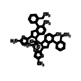 CCc1ccccc1-c1c(C)ccc2c1C=C(c1ccc(C)o1)[CH]2[Zr]([Cl])([Cl])([CH]1C(c2ccc(C)o2)=Cc2c1ccc(C)c2-c1ccccc1CC)=[Si](C)C